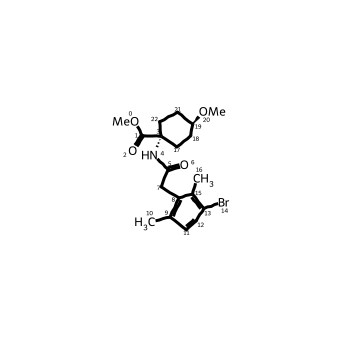 COC(=O)[C@]1(NC(=O)Cc2c(C)ccc(Br)c2C)CC[C@H](OC)CC1